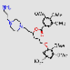 COc1cc(C(=O)OC(CCCOc2cc(C(=O)O)cc(OC)c2OC)CCN2CCCN(CCCN)CC2)cc(OC)c1OC